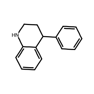 c1ccc(C2CCNc3ccccc32)cc1